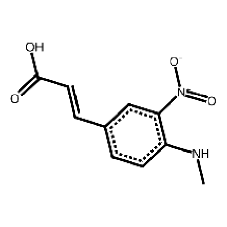 CNc1ccc(C=CC(=O)O)cc1[N+](=O)[O-]